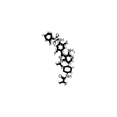 CC(F)C(=O)N[C@H]1CC[C@H](c2cnc(N)c3c(-c4cc(F)c(NS(=O)(=O)c5ccccc5F)cc4F)nn(C(C)C)c32)CC1